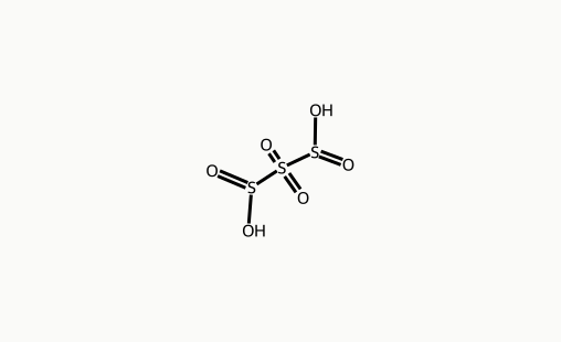 O=S(O)S(=O)(=O)S(=O)O